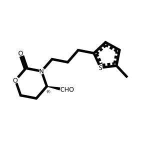 Cc1ccc(CCCN2C(=O)OCC[C@@H]2C=O)s1